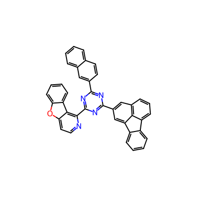 c1ccc2c(c1)-c1cccc3cc(-c4nc(-c5ccc6ccccc6c5)nc(-c5nccc6oc7ccccc7c56)n4)cc-2c13